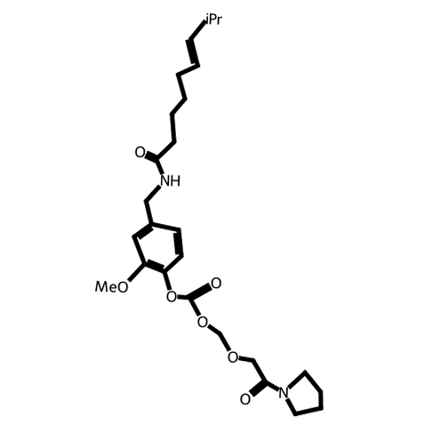 COc1cc(CNC(=O)CCCC/C=C/C(C)C)ccc1OC(=O)OCOCC(=O)N1CCCC1